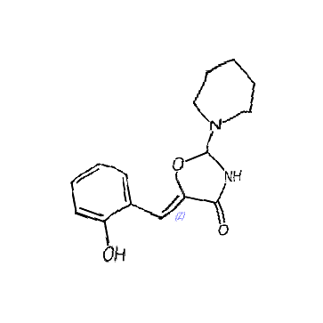 O=C1NC(N2CCCCC2)O/C1=C\c1ccccc1O